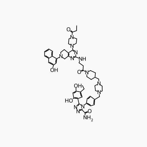 CCC(=O)N1CCN(c2nc(NCCC(=O)N3CCC(CN4CCN(Cc5ccc(-n6c(C(N)=O)nnc6-c6cc(CC)c(O)cc6O)cc5)CC4)CC3)nc3c2CCN(c2cc(O)cc4ccccc24)C3)CC1